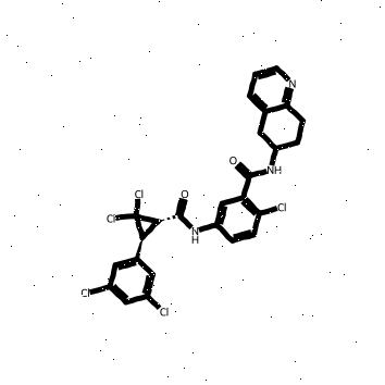 O=C(NC1CCc2ncccc2C1)c1cc(NC(=O)[C@@H]2[C@@H](c3cc(Cl)cc(Cl)c3)C2(Cl)Cl)ccc1Cl